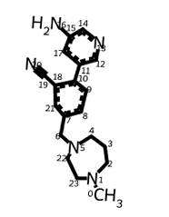 CN1CCCN(Cc2ccc(-c3cncc(N)c3)c(C#N)c2)CC1